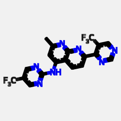 Cc1cc(Nc2ncc(C(F)(F)F)cn2)c2ccc(-c3ncncc3C(F)(F)F)nc2n1